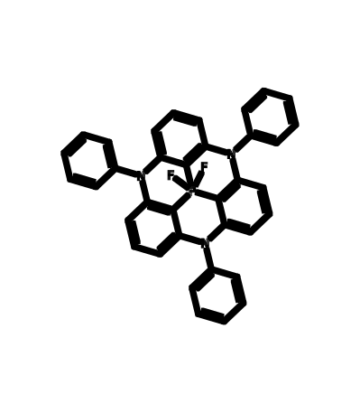 FP12(F)c3c4cccc3N(c3ccccc3)c3cccc(c31)N(c1ccccc1)c1cccc(c12)N4c1ccccc1